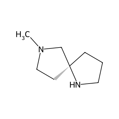 CN1CC[C@@]2(CCCN2)C1